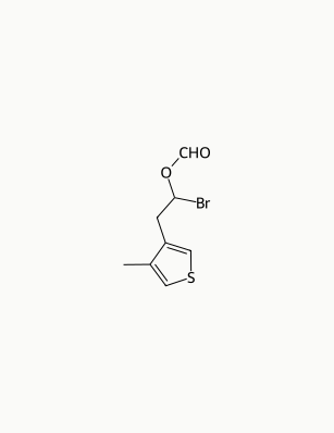 Cc1cscc1CC(Br)OC=O